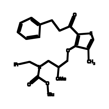 COC(COc1c(C)csc1C(=O)CCc1ccccc1)CN(CC(C)C)C(=O)OC(C)(C)C